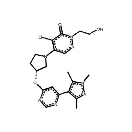 Cc1nn(C)c(C)c1-c1cc(O[C@@H]2CCN(c3cnn(CCO)c(=O)c3Cl)C2)ncn1